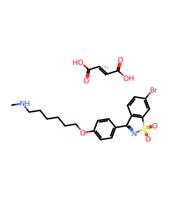 CNCCCCCCOc1ccc(C2=NS(=O)(=O)c3cc(Br)ccc32)cc1.O=C(O)/C=C/C(=O)O